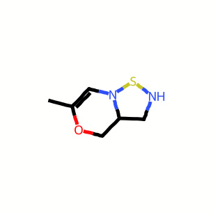 CC1=CN2SNCC2CO1